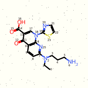 CCN(CCCN)c1ccc2c(=O)c(C(=O)O)cn(-c3nccs3)c2n1